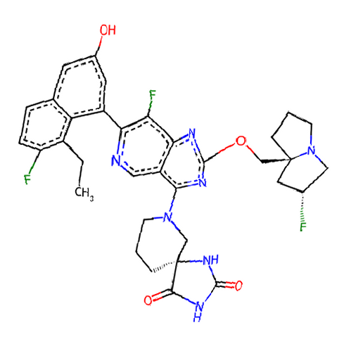 CCc1c(F)ccc2cc(O)cc(-c3ncc4c(N5CCC[C@]6(C5)NC(=O)NC6=O)nc(OC[C@@]56CCCN5C[C@H](F)C6)nc4c3F)c12